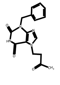 CC(=O)CCn1cnc2c1c(=O)[nH]c(=O)n2Cc1ccccc1